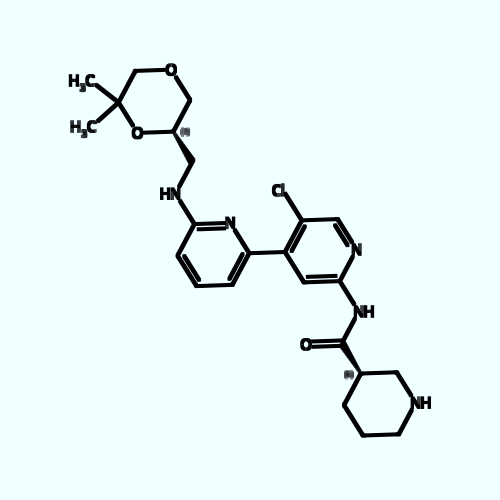 CC1(C)COC[C@@H](CNc2cccc(-c3cc(NC(=O)[C@@H]4CCCNC4)ncc3Cl)n2)O1